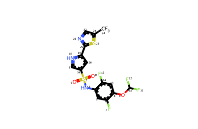 O=S(=O)(Nc1cc(F)c(OC(F)F)cc1F)c1c[nH]c(-c2ncc(C(F)(F)F)s2)c1